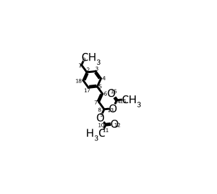 CCc1ccc(C=CC(OC(C)=O)OC(C)=O)cc1